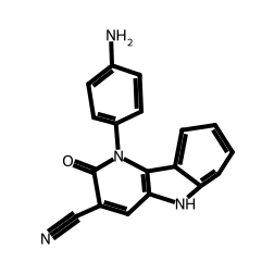 N#Cc1cc2[nH]c3ccccc3c2n(-c2ccc(N)cc2)c1=O